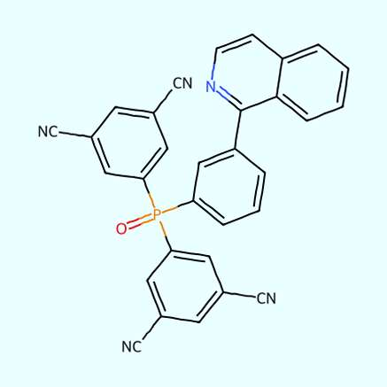 N#Cc1cc(C#N)cc(P(=O)(c2cc(C#N)cc(C#N)c2)c2cccc(-c3nccc4ccccc34)c2)c1